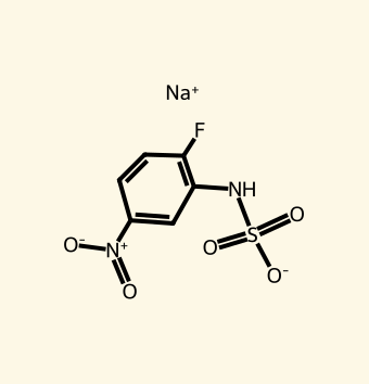 O=[N+]([O-])c1ccc(F)c(NS(=O)(=O)[O-])c1.[Na+]